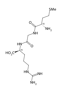 CSCC[C@H](N)C(=O)NCC(=O)N[C@@H](CCCNC(=N)N)C(=O)O